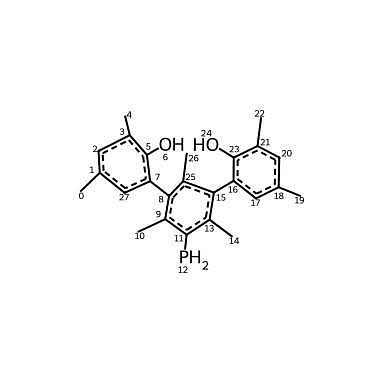 Cc1cc(C)c(O)c(-c2c(C)c(P)c(C)c(-c3cc(C)cc(C)c3O)c2C)c1